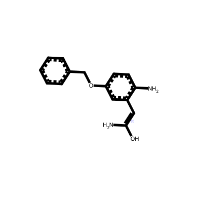 N/C(O)=C\c1cc(OCc2ccccc2)ccc1N